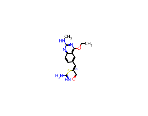 CCOc1nc(NC)nc2ccc(/C=C(/C=O)SC(=N)N)cc12